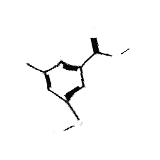 CNc1cc(C)cc(C(=O)OC)c1